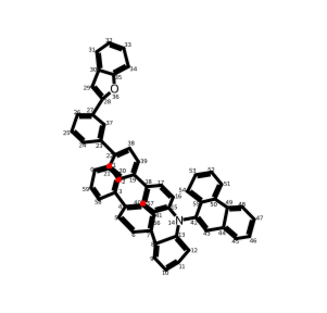 c1ccc(-c2ccc(-c3ccccc3N(c3ccc(-c4ccc(-c5cccc(-c6cc7ccccc7o6)c5)cc4)cc3)c3cc4ccccc4c4ccccc34)cc2)cc1